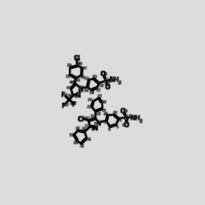 NS(=O)(=O)c1ccc(-n2nc(-c3ccccc3)c(Cl)c2-c2ccccc2)cc1.NS(=O)(=O)c1ccc(-n2nc(C(F)(F)F)cc2-c2ccc(Cl)cc2)cc1